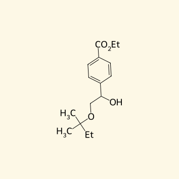 CCOC(=O)c1ccc(C(O)COC(C)(C)CC)cc1